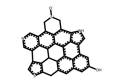 [O-][S+]1Cc2c3cncc4c3c3c5c2c(c2[nH]cc6c7cc(O)cc8cc9c(c(c87)c5c26)C3c2c-4csc2C9)C1